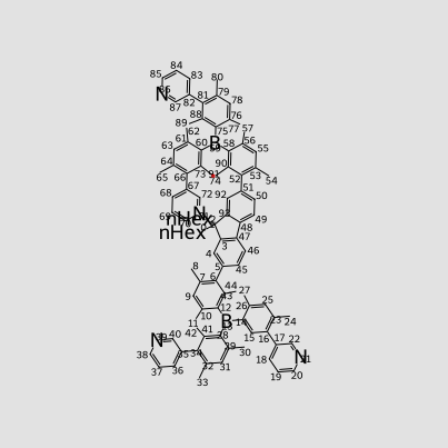 CCCCCCC1(CCCCCC)c2cc(-c3c(C)cc(C)c(B(c4cc(-c5cccnc5)c(C)cc4C)c4c(C)cc(C)c(-c5cccnc5)c4C)c3C)ccc2-c2ccc(-c3c(C)cc(C)c(B(c4c(C)cc(C)c(-c5cccnc5)c4C)c4c(C)cc(C)c(-c5cccnc5)c4C)c3C)cc21